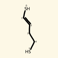 SC=CCCS